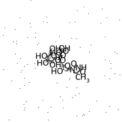 Cc1cn([C@H]2CC(O)[C@@H](COP(=O)(O[C@@H]3O[C@H](CO)[C@H](O)[C@@H](O)[C@@H]3O)OP(=O)(O)O)O2)c(=O)[nH]c1=O